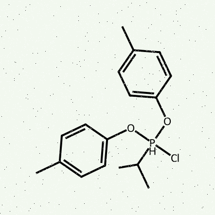 Cc1ccc(O[PH](Cl)(Oc2ccc(C)cc2)C(C)C)cc1